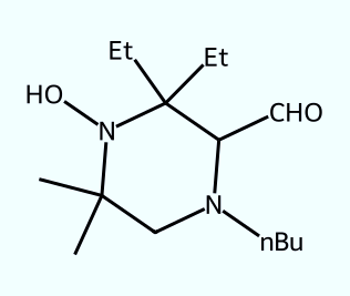 CCCCN1CC(C)(C)N(O)C(CC)(CC)C1C=O